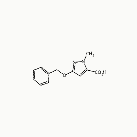 Cn1nc(OCc2ccccc2)cc1C(=O)O